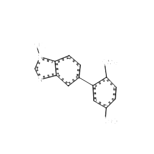 COc1ccc(C=O)cc1-c1ccc2c(c1)ncn2C